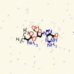 CC(C)C(N)C(=O)OC1C[C@H](n2cnc3c(=O)[nH]c(N)nc32)O[C@@H]1CO